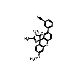 COc1ccc2c(c1)Oc1ccc(-c3cccc(C#N)c3)cc1C21N=C(N)N(C)C1=O